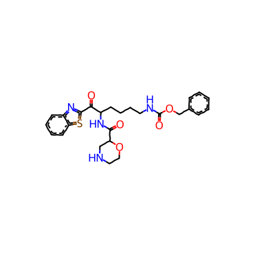 O=C(NCCCCC(NC(=O)C1CNCCO1)C(=O)c1nc2ccccc2s1)OCc1ccccc1